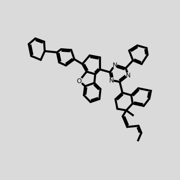 C/C=C\C=C/C1(C)CC=C(c2nc(-c3ccccc3)nc(-c3ccc(-c4ccc(C5C=CC=CC5)cc4)c4oc5ccccc5c34)n2)c2ccccc21